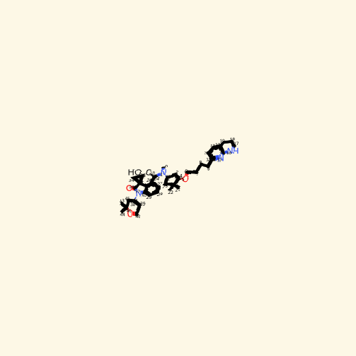 CN([C@@H]1C[C@@H](OCCCCc2ccc3c(n2)NCCC3)C(C)(C)C1)[C@H](C(=O)O)c1cccc2c1C1(CC1)C(=O)N2[C@@H]1CCOC(C)(C)C1